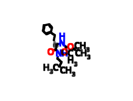 CC(C)CCNC(=O)[C@H](CCc1ccccc1)NC(=O)OC(C)(C)C